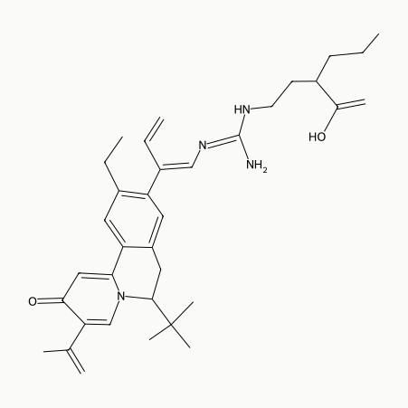 C=C/C(=C\N=C(/N)NCCC(CCC)C(=C)O)c1cc2c(cc1CC)-c1cc(=O)c(C(=C)C)cn1C(C(C)(C)C)C2